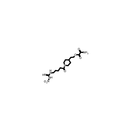 N=C(NCCC[CH]C(=O)N1CCC(CCOC(=O)C(N)=O)CC1)N[N+](=O)[O-]